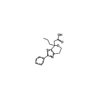 CCCC1(CC(=O)O)OCCc2nc(-c3ccccc3)sc21